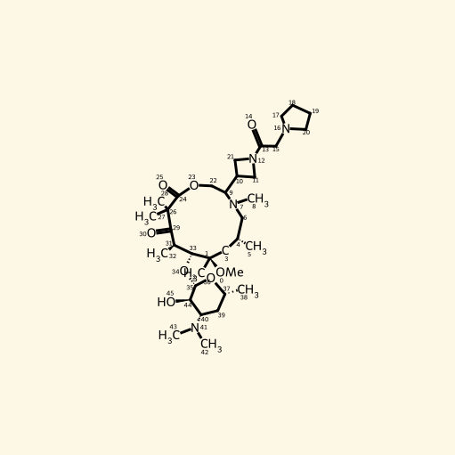 CO[C@]1(C)C[C@@H](C)CN(C)C(C2CN(C(=O)CN3CCCC3)C2)COC(=O)C(C)(C)C(=O)[C@H](C)[C@H]1O[C@@H]1O[C@H](C)C[C@H](N(C)C)[C@H]1O